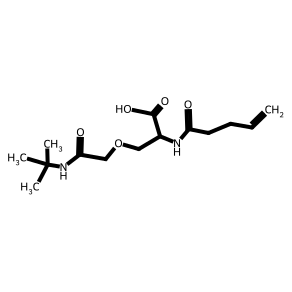 C=CCCC(=O)NC(COCC(=O)NC(C)(C)C)C(=O)O